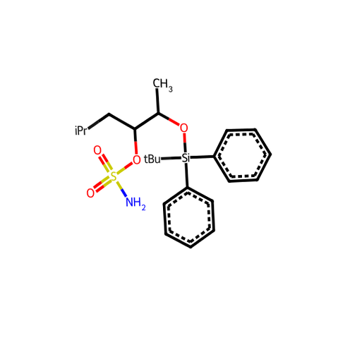 CC(C)CC(OS(N)(=O)=O)C(C)O[Si](c1ccccc1)(c1ccccc1)C(C)(C)C